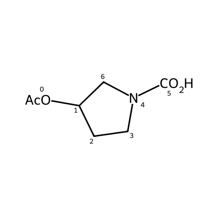 CC(=O)OC1CCN(C(=O)O)C1